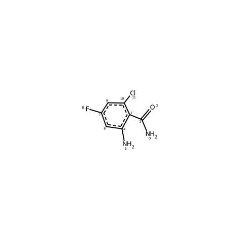 NC(=O)c1c(N)cc(F)cc1Cl